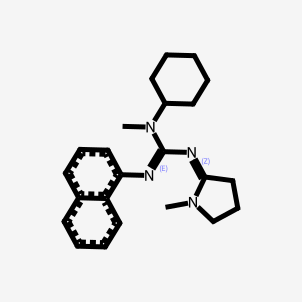 CN1CCC/C1=N/C(=N/c1cccc2ccccc12)N(C)C1CCCCC1